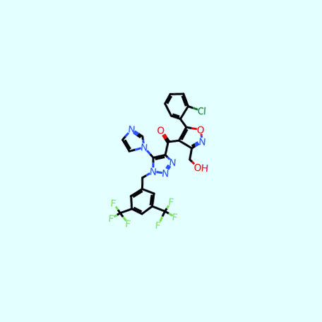 O=C(c1nnn(Cc2cc(C(F)(F)F)cc(C(F)(F)F)c2)c1-n1ccnc1)c1c(CO)noc1-c1ccccc1Cl